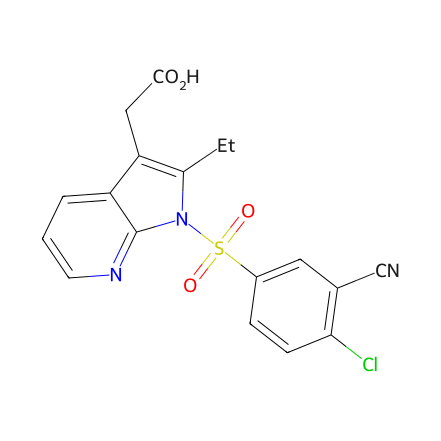 CCc1c(CC(=O)O)c2cccnc2n1S(=O)(=O)c1ccc(Cl)c(C#N)c1